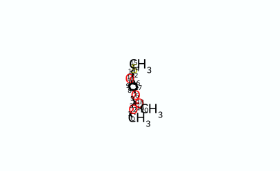 CCOCC(COc1ccc(OCCSC)cc1)OCC